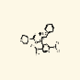 CCN(CC)c1ncc(N(C(C)=O)C(C)C)c(N(OC(=O)N2CCOCC2)[C@@H](Cc2ccccc2)C(=O)O)n1